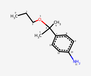 CCCOC(C)(C)c1ccc(N)cc1